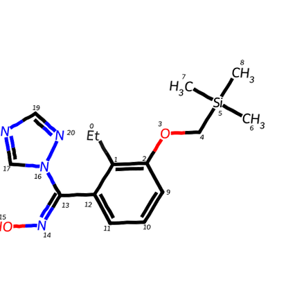 CCc1c(OC[Si](C)(C)C)cccc1C(=NO)n1cncn1